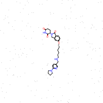 O=C1CCC(N2Cc3cc(OCCCCCCNCc4ccc(N5CCCC5)nc4)ccc3C2=O)C(=O)N1